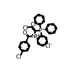 O=C(NC(=C(Cl)Cl)[P+](c1ccccc1)(c1ccccc1)c1ccccc1)c1ccc(Cl)cc1.[Cl-]